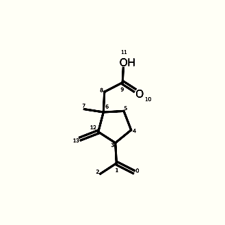 C=C(C)C1CCC(C)(CC(=O)O)C1=C